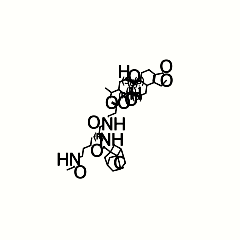 CC(=O)NCCCC[C@@H](NC(=O)C12CC3CC4CC(C1)C2(C4)C3)C(=O)NCCC(=O)O[C@@H]1C(C(C)C)C[C@@H]2O[C@]23[C@]12O[C@H]2CC1C2=C(CC[C@@]13C)C(=O)OC2